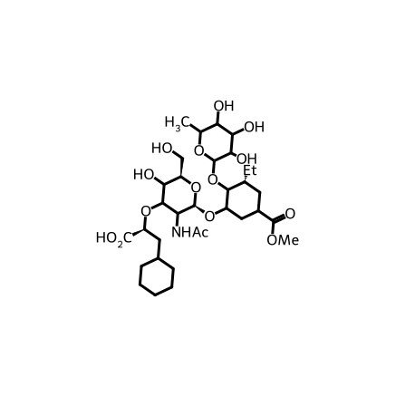 CC[C@@H]1CC(C(=O)OC)CC(O[C@@H]2O[C@H](CO)C(O)C(O[C@@H](CC3CCCCC3)C(=O)O)C2NC(C)=O)C1OC1OC(C)C(O)C(O)C1O